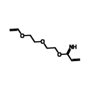 C=COCCOCCOC(=N)C=C